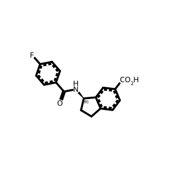 O=C(O)c1ccc2c(c1)[C@H](NC(=O)c1ccc(F)cc1)CC2